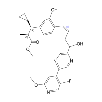 COC(=O)[C@@H](C)[C@H](c1ccc(/C=C\CC(O)c2cnc(-c3cc(OC)ncc3F)cn2)c(O)c1)C1CC1